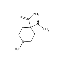 CNC1(C(N)=O)CCN(P)CC1